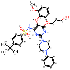 COc1ccccc1Oc1c(NS(=O)(=O)c2ccc(C(C)(C)C)cc2)nc(N2CCN(c3ccccc3)CC2)nc1OCCCO